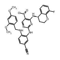 COc1ccc(CNc2ccc(C#N)cc2Nc2ncc([N+](=O)[O-])c(N[C@@H]3CCOc4c(F)cccc43)n2)c(OC)c1